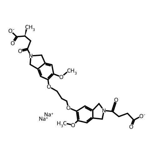 COc1cc2c(cc1OCCCOc1cc3c(cc1OC)CN(C(=O)C[C@H](C)C(=O)[O-])C3)CN(C(=O)CCC(=O)[O-])C2.[Na+].[Na+]